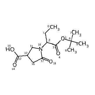 CCC(C(=O)OC(C)(C)C)N1CC(C(=O)O)CC1=O